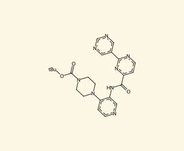 CC(C)(C)OC(=O)N1CCN(c2ccncc2NC(=O)c2ccnc(-c3cncnc3)n2)CC1